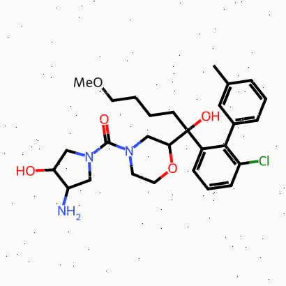 COCCCCC(O)(c1cccc(Cl)c1-c1cccc(C)c1)C1CN(C(=O)N2CC(N)C(O)C2)CCO1